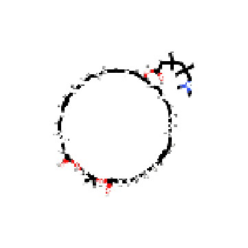 CN(C)CC(C)(C)CC(C)(C)CC(=O)OC1CCCCCCCC/C=C\CCCCCC(=O)OCC(C)(C)OC(=O)CCCCC/C=C\CCCCCCCC1